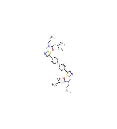 CCCN(Cc1ncc(-c2ccc(-c3ccc(-c4cnc(CN(CCC)C(=O)CC(C)C)s4)cc3)cc2)s1)C(=O)CC(C)C